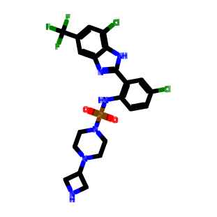 O=S(=O)(Nc1ccc(Cl)cc1-c1nc2cc(C(F)(F)F)cc(Cl)c2[nH]1)N1CCN(C2CNC2)CC1